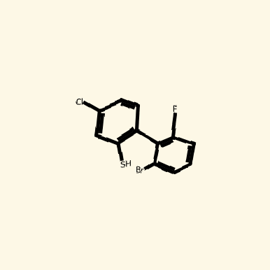 Fc1cccc(Br)c1-c1ccc(Cl)cc1S